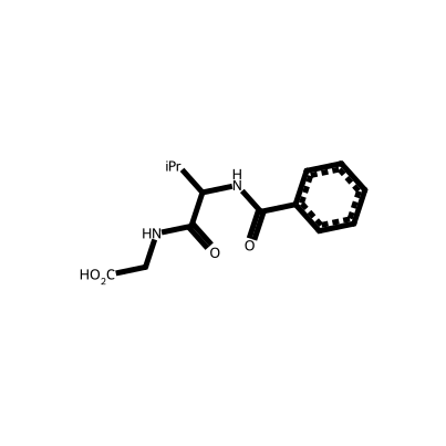 CC(C)C(NC(=O)c1ccccc1)C(=O)NCC(=O)O